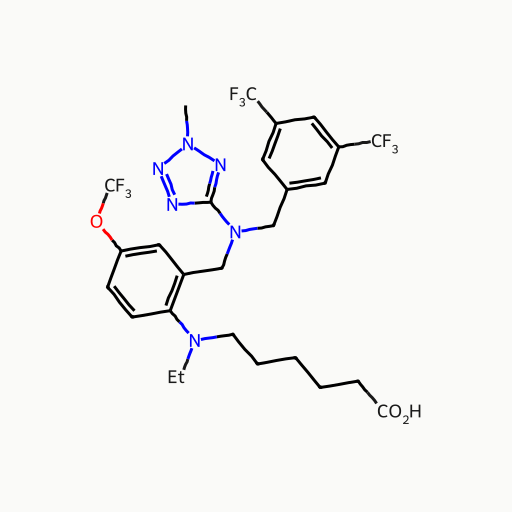 CCN(CCCCCC(=O)O)c1ccc(OC(F)(F)F)cc1CN(Cc1cc(C(F)(F)F)cc(C(F)(F)F)c1)c1nnn(C)n1